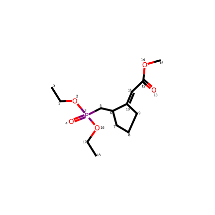 CCOP(=O)(CC1CCC/C1=C\C(=O)OC)OCC